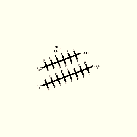 N.N.O=C(O)C(F)(F)C(F)(F)C(F)(F)C(F)(F)C(F)(F)C(F)(F)C(F)(F)C(F)(F)C(F)(F)F.O=C(O)C(F)(F)C(F)(F)C(F)(F)C(F)(F)C(F)(F)C(F)(F)C(F)(F)F